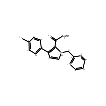 COC(=O)c1c(-c2ccc(F)cc2)ccn1Cc1ncccn1